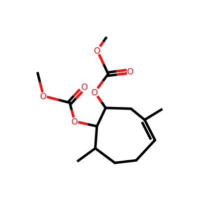 COC(=O)OC1C/C(C)=C\CCC(C)C1OC(=O)OC